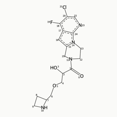 O=C(C(O)COCC1CCN1)N1CCn2c(cc3c(F)c(Cl)cnc32)C1